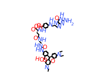 CC/N=c1/ccc2c(-c3ccc(NC(=O)NCCNC(=O)CC[C@H](NC(=O)c4ccc(NCc5cnc6nc(N)[nH]c(=O)c6n5)cc4)C(=O)O)cc3C(=O)O)c3ccc(N(CC)CC)cc3oc-2c1